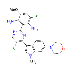 COc1cc(F)c(N)c(-c2ncc(Cl)c(-c3cn(C)c4cc(N5CCOCC5)ccc34)n2)c1N